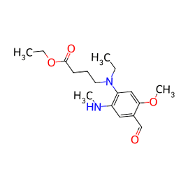 CCOC(=O)CCCN(CC)c1cc(OC)c(C=O)cc1NC